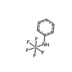 FS(F)(F)(F)(F)Nc1ccccc1